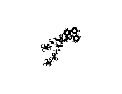 CC(OC(=O)OCC(Cl)(Cl)Cl)C1C(=O)N(CC(=O)O[PH](c2ccccc2)(c2ccccc2)c2ccccc2)C1SC(=S)SCCOC(=O)OCC(Cl)(Cl)Cl